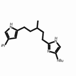 CCCCc1c[nH]c(CCC(C)CCc2cc(C(C)C)c[nH]2)n1